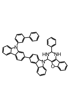 c1ccc(-c2cccc(-n3c4ccccc4c4ccc(-c5ccc6c(c5)c5ccccc5n6C5NC(c6ccccc6)Nc6c5oc5ccccc65)cc43)c2)cc1